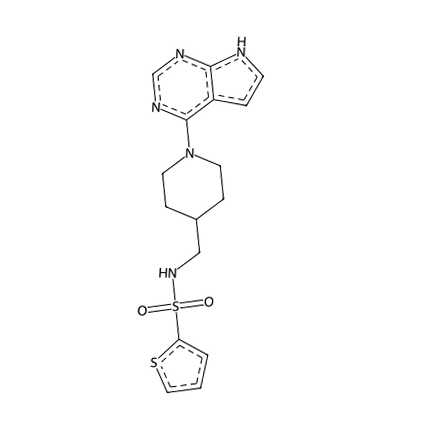 O=S(=O)(NCC1CCN(c2ncnc3[nH]ccc23)CC1)c1cccs1